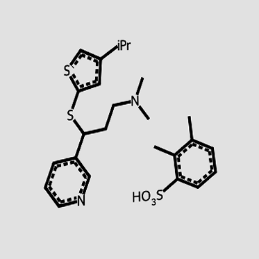 CC(C)c1csc(SC(CCN(C)C)c2cccnc2)c1.Cc1cccc(S(=O)(=O)O)c1C